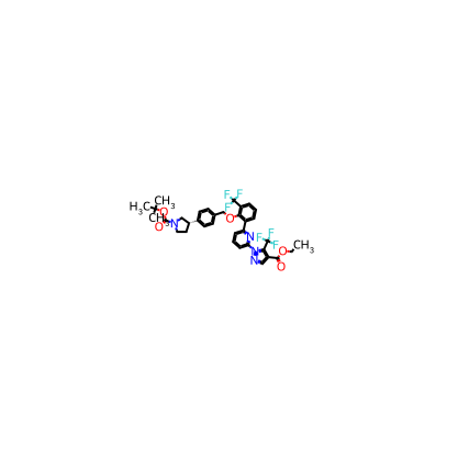 CCOC(=O)c1cnn(-c2cccc(-c3cccc(C(F)(F)F)c3OCc3ccc([C@@H]4CCN(C(=O)OC(C)(C)C)C4)cc3)n2)c1C(F)(F)F